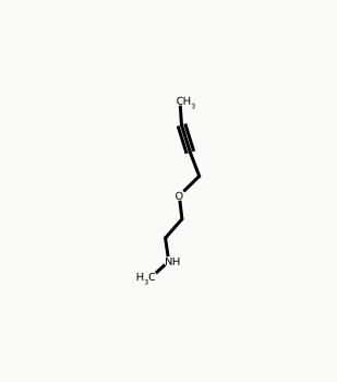 CC#CCOCCNC